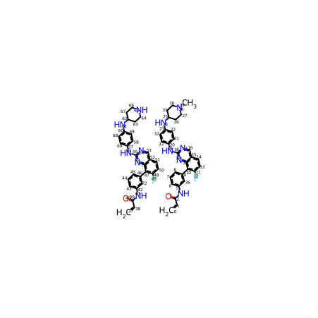 C=CC(=O)Nc1cccc(-c2c(F)ccc3cnc(Nc4ccc(NC5CCN(C)CC5)cc4)nc23)c1.C=CC(=O)Nc1cccc(-c2c(F)ccc3cnc(Nc4ccc(NC5CCNCC5)cc4)nc23)c1